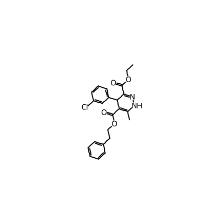 CCOC(=O)C1=NNC(C)=C(C(=O)OCCc2ccccc2)C1c1cccc(Cl)c1